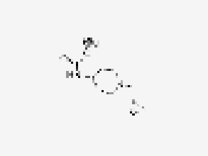 CC(C)(C)OC(=O)NC1CCN(CC2CS2)CC1